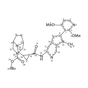 COc1ccnc(OC)c1-c1cc2cc(NC(=O)[C@H]3CC3CN3C4CCC3CN(C(=O)OC(C)(C)C)C4)ncc2n1C